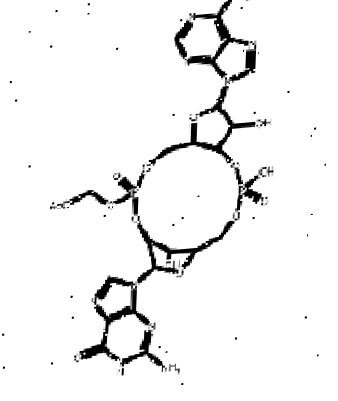 CC(=O)OCOP1(=O)OCC2OC(n3cnc4c(N)ncnc43)C(O)C2OP(=O)(O)OCC2OC(n3cnc4c(=O)[nH]c(N)nc43)C(O1)C2O